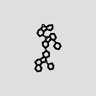 c1ccc(-c2cccc3c2c2cc(-c4ccc5c(c4)c4ccc6ccccc6c4n5-c4ccccc4)ccc2n3-c2cccc3oc4ccccc4c23)cc1